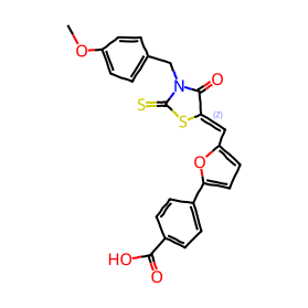 COc1ccc(CN2C(=O)/C(=C/c3ccc(-c4ccc(C(=O)O)cc4)o3)SC2=S)cc1